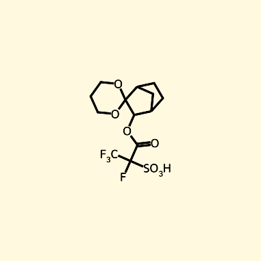 O=C(OC1C2CCC(C2)C12OCCCO2)C(F)(C(F)(F)F)S(=O)(=O)O